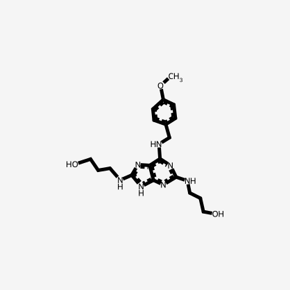 COc1ccc(CNc2nc(NCCCO)nc3[nH]c(NCCCO)nc23)cc1